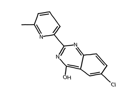 Cc1cccc(-c2nc(O)c3cc(Cl)ccc3n2)n1